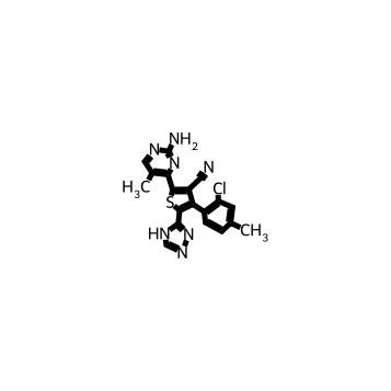 Cc1ccc(-c2c(-c3nnc[nH]3)sc(-c3nc(N)ncc3C)c2C#N)c(Cl)c1